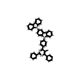 Cc1c(-c2ccccc2)nc(-c2ccccc2)nc1-c1ccc(-n2c3ccccc3c3cc(-n4c5ccccc5c5ccccc54)ccc32)cc1